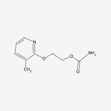 Cc1cccnc1OCCOC(N)=O